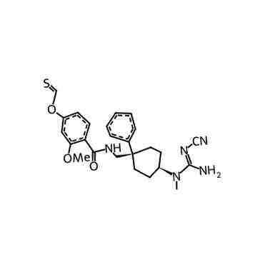 COc1cc(OC=S)ccc1C(=O)NC[C@]1(c2ccccc2)CC[C@H](N(C)C(N)=NC#N)CC1